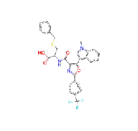 Cn1cc(-c2oc(-c3ccc(C(F)(F)F)cc3)nc2C(=O)NC(CSCc2ccccc2)C(=O)O)c2ccccc21